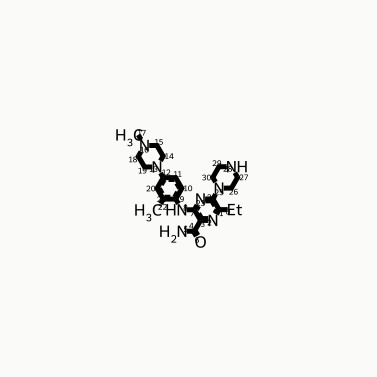 CCc1nc(C(N)=O)c(Nc2ccc(N3CCN(C)CC3)cc2C)nc1N1CCNCC1